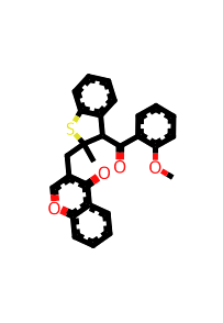 COc1ccccc1C(=O)C1c2ccccc2SC1(C)Cc1coc2ccccc2c1=O